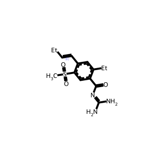 CC/C=C/c1cc(CC)c(C(=O)N=C(N)N)cc1S(C)(=O)=O